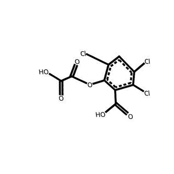 O=C(O)C(=O)Oc1c(Cl)cc(Cl)c(Cl)c1C(=O)O